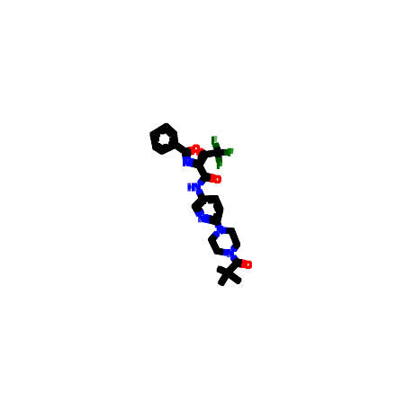 CC(C)(C)C(=O)N1CCN(c2ccc(NC(=O)c3nc(-c4ccccc4)oc3C(F)(F)F)cn2)CC1